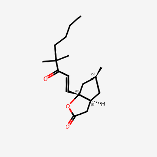 CCCCC(C)(C)C(=O)C=C[C@@]12C[C@@H](C)C[C@H]1CC(=O)O2